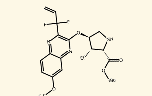 C=CC(F)(F)c1nc2ccc(OC(F)(F)F)cc2nc1O[C@H]1CN[C@H](C(=O)OC(C)(C)C)[C@@H]1CC